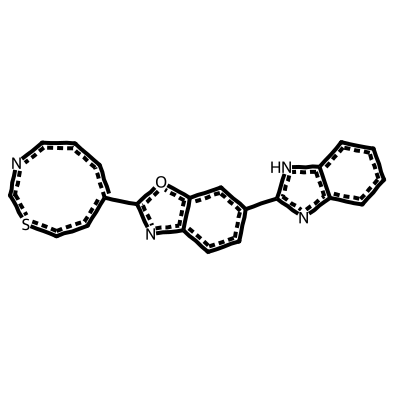 c1cncsccc(-c2nc3ccc(-c4nc5ccccc5[nH]4)cc3o2)c1